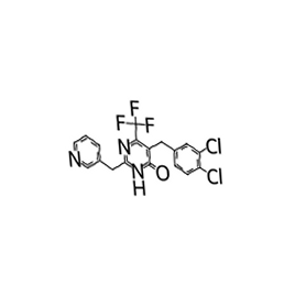 O=c1[nH]c(Cc2cccnc2)nc(C(F)(F)F)c1Cc1ccc(Cl)c(Cl)c1